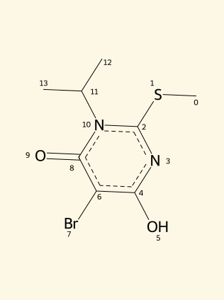 CSc1nc(O)c(Br)c(=O)n1C(C)C